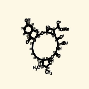 COC(=O)[C@@H]1C[C@@H]2CN1C(=O)[C@H](C(C)(C)C)NC(=O)O[C@@H]1C[C@H](C)[C@H](C)[C@H]1CCCCCn1c(nc3cc(O)ccc3c1=O)O2